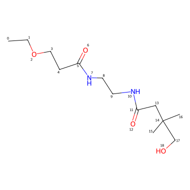 CCOCCC(=O)NCCNC(=O)CC(C)(C)CO